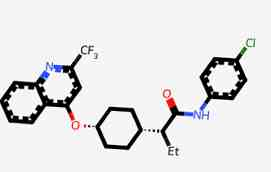 CCC(C(=O)Nc1ccc(Cl)cc1)[C@H]1CC[C@@H](Oc2cc(C(F)(F)F)nc3ccccc23)CC1